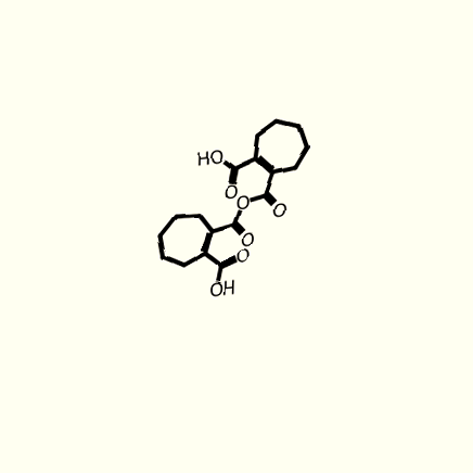 O=C(O)C1=C(C(=O)OC(=O)C2=C(C(=O)O)CCCCC2)CCCCC1